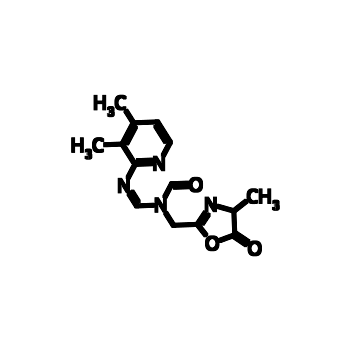 Cc1ccnc(/N=C\N(C=O)CC2=NC(C)C(=O)O2)c1C